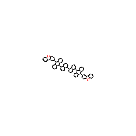 C1=C(c2c3ccccc3c(-c3cccc4c(-c5cccc6c(-c7c8ccccc8c(-c8ccc9oc%10ccccc%10c9c8)c8ccccc78)cccc56)cccc34)c3ccccc23)CCc2oc3ccccc3c21